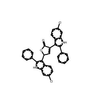 O=C1OC(c2c(-c3ccccc3)[nH]c3cc(Cl)ccc23)C=C1c1c(-c2ccccc2)[nH]c2cc(Cl)ccc12